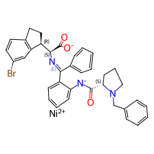 O=C([O-])[C@@H](/N=C(\c1ccccc1)c1ccccc1[N-]C(=O)[C@@H]1CCCN1Cc1ccccc1)[C@@H]1CCc2ccc(Br)cc21.[Ni+2]